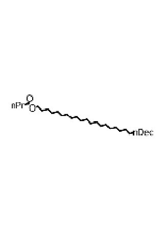 CCCCCCCCCCCCCCCCCCCCCCCCCCCCCCOC(=O)CCC